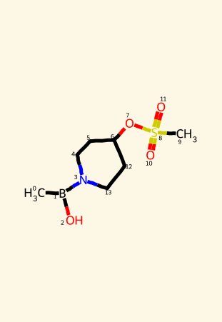 CB(O)N1CCC(OS(C)(=O)=O)CC1